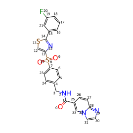 O=C(NCc1ccc(S(=O)(=O)c2csc(-c3cccc(F)c3)n2)cc1)c1ccc2nccn2c1